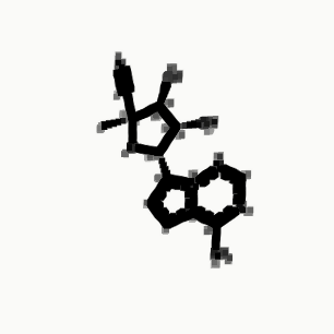 [CH2][C@@]1(C#N)O[C@@H](c2ccc3c(N)ncnn23)[C@@H](O)[C@@H]1O